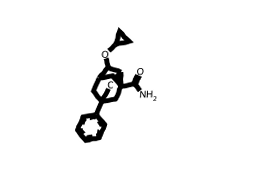 NC(=O)C12CC3CC(c4ccccc4)(CC1C3OC1CC1)C2